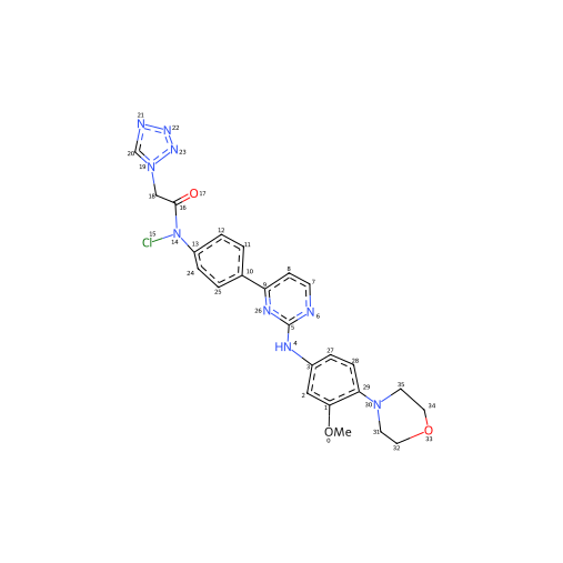 COc1cc(Nc2nccc(-c3ccc(N(Cl)C(=O)Cn4cnnn4)cc3)n2)ccc1N1CCOCC1